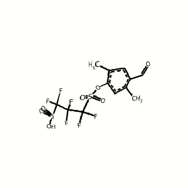 Cc1cc(OS(=O)(=O)C(F)(F)C(F)(F)C(F)(F)S(=O)(=O)O)c(C)cc1C=O